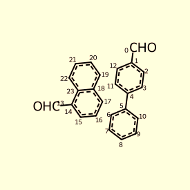 O=Cc1ccc(-c2ccccc2)cc1.O=Cc1cccc2ccccc12